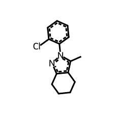 Cc1c2c(nn1-c1ccccc1Cl)CCCC2